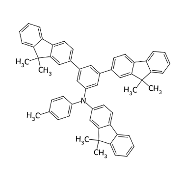 Cc1ccc(N(c2cc(-c3ccc4c(c3)C(C)(C)c3ccccc3-4)cc(-c3ccc4c(c3)C(C)(C)c3ccccc3-4)c2)c2ccc3c(c2)C(C)(C)c2ccccc2-3)cc1